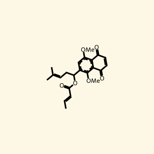 CC=CC(=O)OC(CC=C(C)C)c1cc(OC)c2c(c1OC)C(=O)C=CC2=O